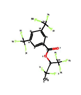 CC(F)(F)C(OC(=O)c1cc(C(F)(F)F)cc(C(F)(F)F)c1)C(F)(F)F